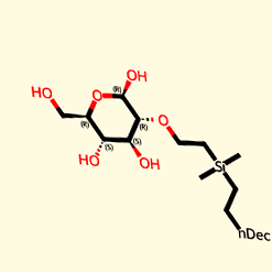 CCCCCCCCCCCC[Si](C)(C)CCO[C@@H]1[C@@H](O)[C@H](O)[C@@H](CO)O[C@H]1O